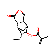 C=C(C)C(=O)OC1C2CC(C1CC)C1C(=O)OCC21